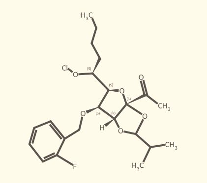 CCCC[C@H](OCl)[C@H]1O[C@]2(C(C)=O)OC(C(C)C)O[C@@H]2[C@H]1OCc1ccccc1F